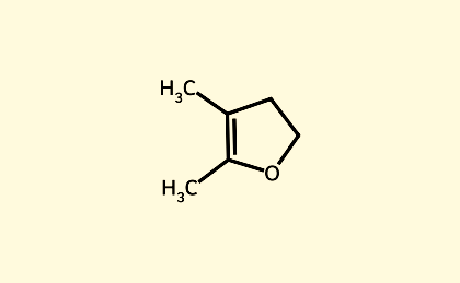 CC1=C(C)OCC1